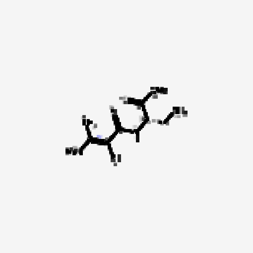 CN/C(C)=C(\S)C(=O)N[C@@H](CN)C(=O)OC